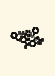 CC(C)(N)C(=O)NC(COCc1ccccc1)C(=O)N1CCC2NC(=O)O[C@@H](Cc3ccccc3)C2C1